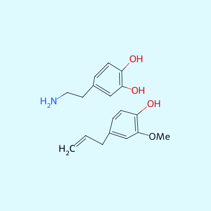 C=CCc1ccc(O)c(OC)c1.NCCc1ccc(O)c(O)c1